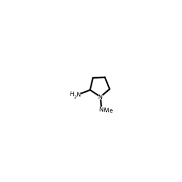 CNN1CCCC1N